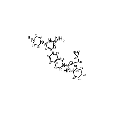 CN1CCN(c2cc(-c3ccc4c(c3)CN(C(=O)N[C@H]3CCCC[C@H]3OCC3CC3)CC4)nc(N)n2)CC1